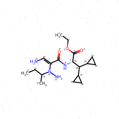 CCOC(=O)[C@@H](NC(=O)/C(=C/N)N(N)C(C)CC)C(C1CC1)C1CC1